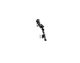 C=CCCNCCCCCCOc1ccc(C(=O)Cc2ccccc2)cc1